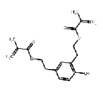 [CH]c1ccc(CCOC(=O)C(=C)C)cc1CCOC(=O)C(=C)C